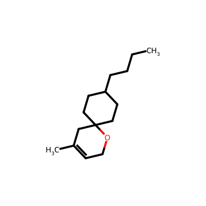 CCCCC1CCC2(CC1)CC(C)=CCO2